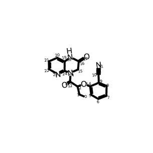 CCC(Oc1ccccc1C#N)C(=O)N1CC(=O)Nc2cccnc21